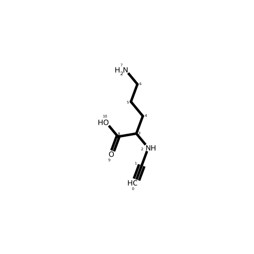 C#CNC(CCCN)C(=O)O